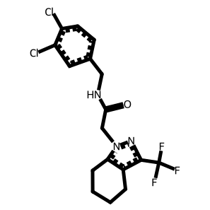 O=C(Cn1nc(C(F)(F)F)c2c1CCCC2)NCc1ccc(Cl)c(Cl)c1